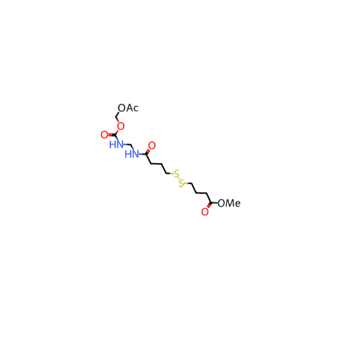 COC(=O)CCCSSCCCC(=O)NCNC(=O)OCOC(C)=O